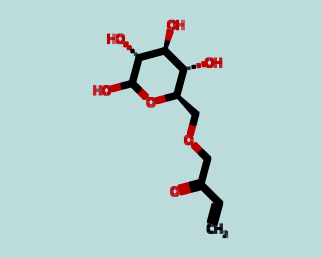 C=CC(=O)COC[C@H]1OC(O)[C@H](O)[C@@H](O)[C@@H]1O